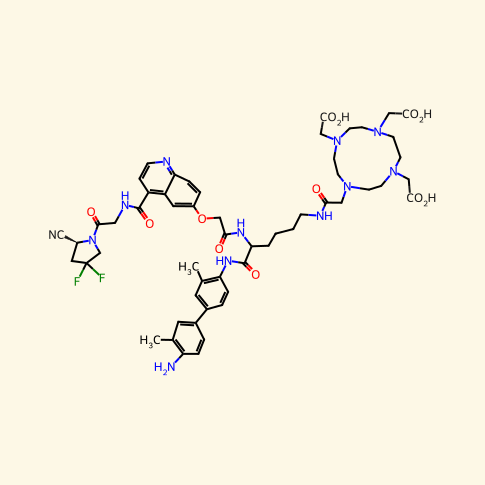 Cc1cc(-c2ccc(NC(=O)C(CCCCNC(=O)CN3CCN(CC(=O)O)CCN(CC(=O)O)CCN(CC(=O)O)CC3)NC(=O)COc3ccc4nccc(C(=O)NCC(=O)N5CC(F)(F)C[C@H]5C#N)c4c3)c(C)c2)ccc1N